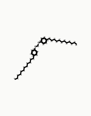 CCCCCCCCCCCCc1ccc(SCSc2ccc(CCCCCCCCCCCC)cc2)cc1